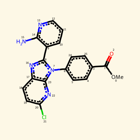 COC(=O)c1ccc(-n2c(-c3cccnc3N)nc3ccc(Cl)nc32)cc1